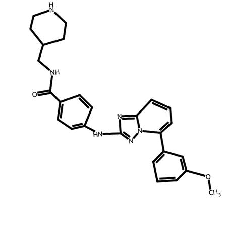 COc1cccc(-c2cccc3nc(Nc4ccc(C(=O)NCC5CCNCC5)cc4)nn23)c1